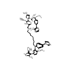 Cc1ccc(-c2c(C)noc2C)cc1N(CCCCCCCOCC(=O)N[C@H](C(=O)N1C[C@H](O)C[C@H]1C(=O)N[C@@H](C)c1ccc(-c2scnc2C)cc1)C(C)(C)C)c1ccc(-n2ccnc2)cc1